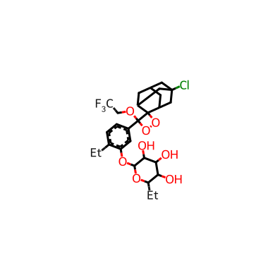 CCc1ccc(C2(OCC(F)(F)F)OOC23C2CC4CC3CC(Cl)(C4)C2)cc1OC1OC(CC)C(O)C(O)C1O